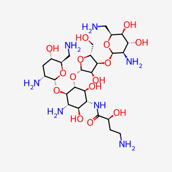 NCC[C@H](O)C(=O)N[C@@H]1[C@@H](O)[C@H](N)[C@@H](O[C@H]2O[C@H](CN)[C@@H](O)C[C@H]2N)[C@H](O[C@@H]2O[C@H](CO)[C@@H](O[C@H]3O[C@@H](CN)[C@@H](O)[C@H](O)[C@H]3N)[C@H]2O)[C@H]1O